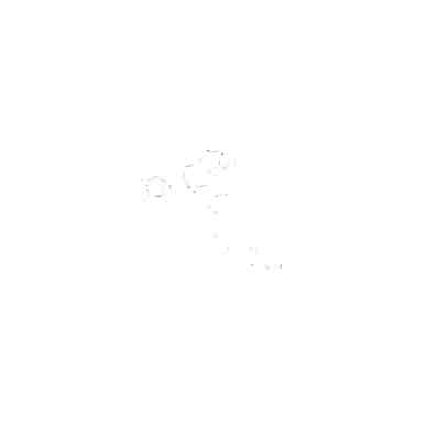 O=C(N[C@H]1CC[C@H](N2CC(F)(F)C2)CC1)c1nc(-n2ccnc2)cc2cn[nH]c12